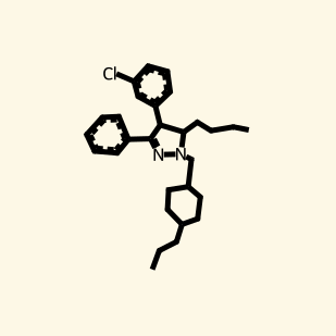 CCCCC1C(c2cccc(Cl)c2)C(c2ccccc2)=NN1CC1CCC(CCC)CC1